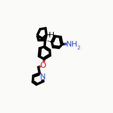 Nc1ccc([C@]2(c3ccc(OCc4ccccn4)cc3)CC3CC[C@@H]2C3)cc1